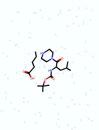 CC(C)CC(NC(=O)OC(C)(C)C)C(=O)N1CCNCC1.CCCCC(=O)O